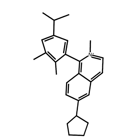 Cc1cc(C(C)C)cc(-c2c3ccc(C4CCCC4)cc3cc[n+]2C)c1C